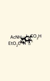 CCOC(=O)n1nc2c(c1NC(C)=O)CN(C(=O)O)C2(C)C